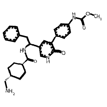 COC(=O)Nc1ccc(-c2cc(C(Cc3ccccc3)NC(=O)[C@H]3CC[C@H](CN)CC3)c[nH]c2=O)cc1